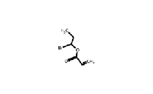 C=CC(=O)OC(Br)CC